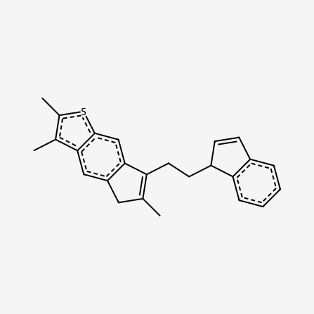 CC1=C(CCC2C=Cc3ccccc32)c2cc3sc(C)c(C)c3cc2C1